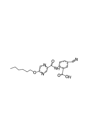 CCCCCCOc1cnc(C(=O)Nc2ccc(C#N)cc2C(=O)O)cn1